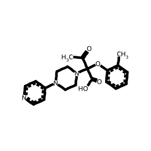 CC(=O)C(Oc1ccccc1C)(C(=O)O)N1CCN(c2ccncc2)CC1